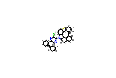 Clc1nc2c3ccccc3c3ccccc3c2nc1-n1c2ccc3cccc4c3c2c2c3c(ccc21)sc1cccc-4c13